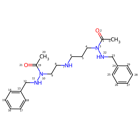 CC(=O)N(CCCNCCN(NCc1ccccc1)C(C)=O)NCc1ccccc1